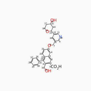 O=C(O)c1cc2cc(OCc3cncc(C4CC(O)CCO4)c3)ccc2c(-c2ccccc2)c1CO